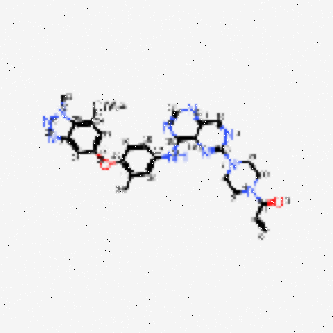 C=CC(=O)N1CCN(c2ncc3ncnc(Nc4ccc(Oc5cc(OC)c6c(c5)nnn6C)c(C)c4)c3n2)CC1